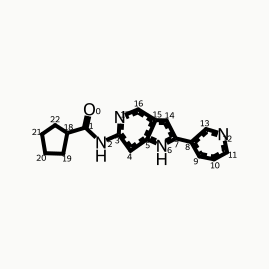 O=C(Nc1cc2[nH]c(-c3cccnc3)cc2cn1)C1CCCC1